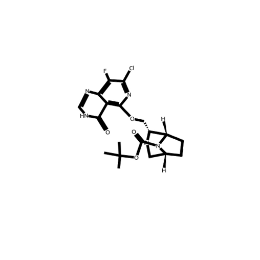 CC(C)(C)OC(=O)N1[C@@H]2CC[C@H]1[C@@H](COc1nc(Cl)c(F)c3nc[nH]c(=O)c13)NC2